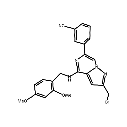 COc1ccc(CNc2nc(-c3cccc(C#N)c3)cn3nc(CBr)cc23)c(OC)c1